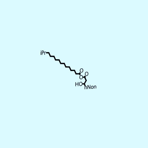 CCCCCCCCCC(O)CC(=O)OC(=O)CCCCCCCCCCCCC(C)C